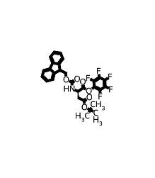 CC(C)(C)OC(=O)C[C@@H](NC(=O)OCC1c2ccccc2-c2ccccc21)C(=O)Oc1c(F)c(F)c(F)c(F)c1F